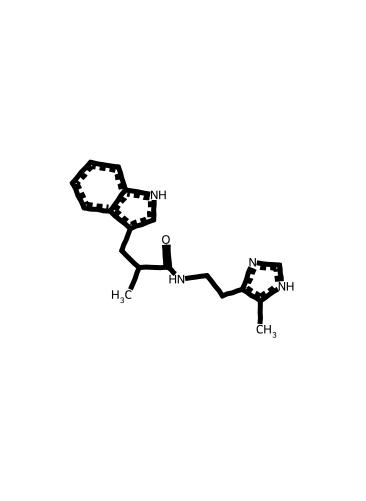 Cc1[nH]cnc1CCNC(=O)C(C)Cc1c[nH]c2ccccc12